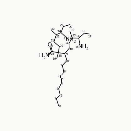 CCCCCCCCCC(CCC(C)C(N)CC)C(C)(CCC(C)C(N)CC)C(N)=O